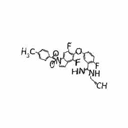 C#CCNC(=N)c1cc(Oc2c(F)cc3c(ccn3S(=O)(=O)c3ccc(C)cc3)c2F)ccc1F